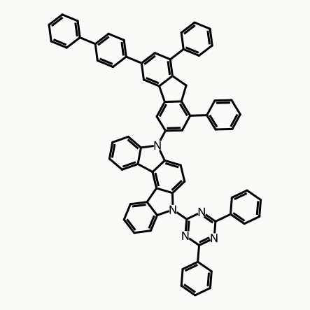 c1ccc(-c2ccc(-c3cc(-c4ccccc4)c4c(c3)-c3cc(-n5c6ccccc6c6c7c8ccccc8n(-c8nc(-c9ccccc9)nc(-c9ccccc9)n8)c7ccc65)cc(-c5ccccc5)c3C4)cc2)cc1